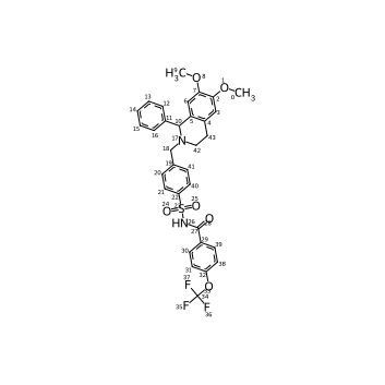 COc1cc2c(cc1OC)C(c1ccccc1)N(Cc1ccc(S(=O)(=O)NC(=O)c3ccc(OC(F)(F)F)cc3)cc1)CC2